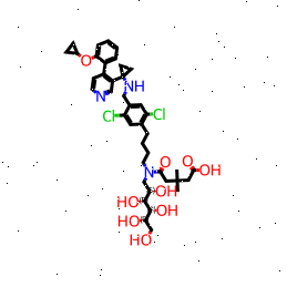 CC(C)(CC(=O)O)CC(=O)N(CCCCc1cc(Cl)c(CNC2(c3cnccc3-c3ccccc3OC3CC3)CC2)cc1Cl)C[C@H](O)[C@@H](O)[C@H](O)[C@H](O)CO